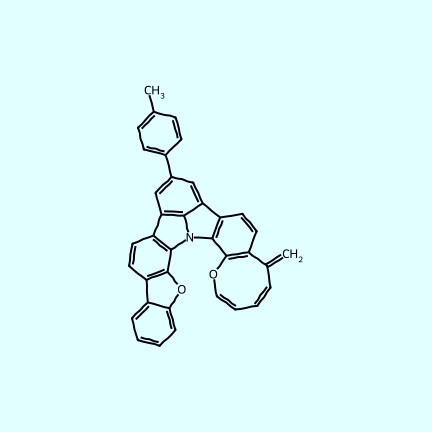 C=c1ccccoc2c1ccc1c3cc(-c4ccc(C)cc4)cc4c5ccc6c7ccccc7oc6c5n(c34)c12